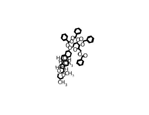 C[C@@H]1CC[C@@]2(OC1)O[C@H]1C[C@H]3[C@@H]4CC=C5C[C@@H](O[C@@H]6OC(COC(=O)c7ccccc7)[C@@H](OC(=O)c7ccccc7)C(OC(=O)c7ccccc7)[C@@H]6OC(=O)c6ccccc6)CC[C@]5(C)[C@H]4CC[C@]3(C)[C@H]1[C@@H]2C